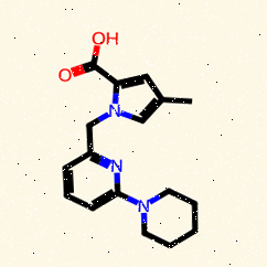 Cc1cc(C(=O)O)n(Cc2cccc(N3CCCCC3)n2)c1